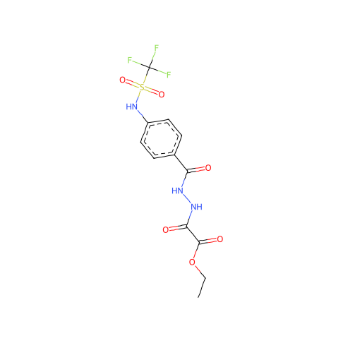 CCOC(=O)C(=O)NNC(=O)c1ccc(NS(=O)(=O)C(F)(F)F)cc1